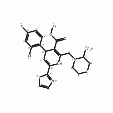 CC(C)OC(=O)C1=C(CN2CCOCC2C(=O)O)NC(c2nccs2)=NC1c1ccc(F)cc1Cl